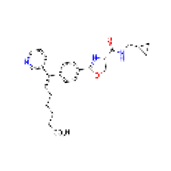 O=C(O)CCCC/C=C(\c1ccc(C2=N[C@H](C(=O)NCC3CC3)CO2)cc1)c1cccnc1